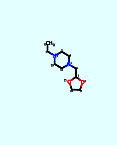 CCN1CCN(CC2OCCO2)CC1